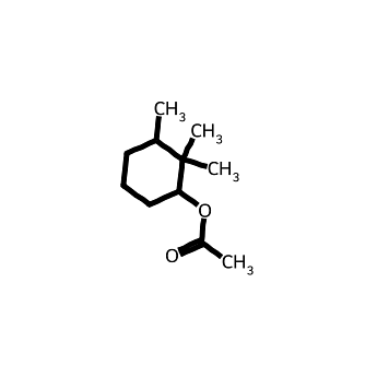 CC(=O)OC1CCCC(C)C1(C)C